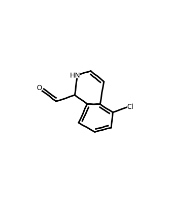 O=CC1NC=Cc2c(Cl)cccc21